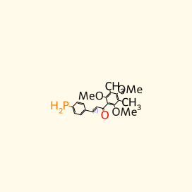 COc1c(C)c(OC)c(C(=O)/C=C/c2ccc(P)cc2)c(OC)c1C